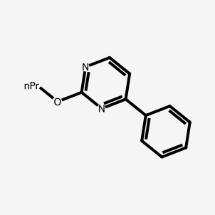 CCCOc1nccc(-c2ccccc2)n1